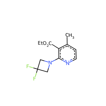 CCOC(=O)c1c(C)ccnc1N1CC(F)(F)C1